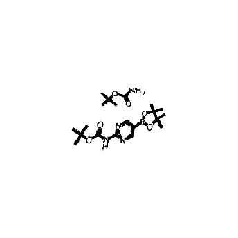 CC(C)(C)OC(=O)Nc1ncc(B2OC(C)(C)C(C)(C)O2)cn1.CC(C)(C)OC(N)=O